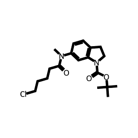 CN(C(=O)CCCCCl)c1ccc2c(c1)N(C(=O)OC(C)(C)C)CC2